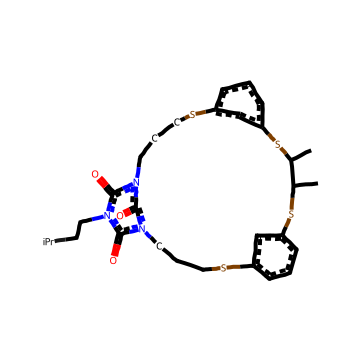 CC(C)CCn1c(=O)n2c(=O)n(c1=O)CCCSc1cccc(c1)SC(C)C(C)Sc1cccc(c1)SCCC2